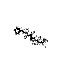 CC(C)(CO)[C@@H](O)C(=O)NCCC(=O)C(=O)NCCc1ccccc1